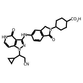 N#CCC(C1CC1)n1nc(Nc2ccc3c(c2)CN(C2CCC(C(=O)O)CC2)C3=O)c2c(=O)[nH]ccc21